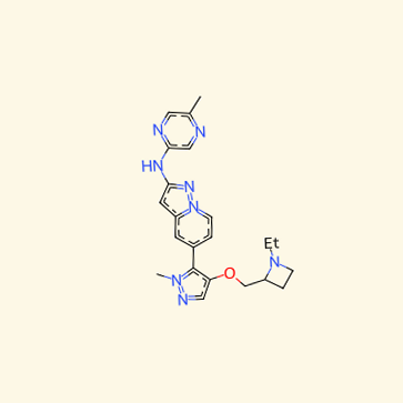 CCN1CCC1COc1cnn(C)c1-c1ccn2nc(Nc3cnc(C)cn3)cc2c1